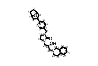 O=C1N(Cc2ccc(C3CC4CCC(C3)O4)nc2)CCN1C[C@H](O)CN1CCc2ccccc2C1